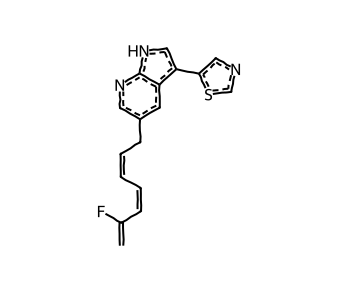 C=C(F)/C=C\C=C/Cc1cnc2[nH]cc(-c3cncs3)c2c1